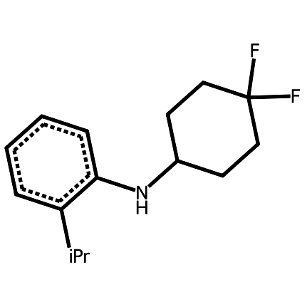 CC(C)c1ccccc1NC1CCC(F)(F)CC1